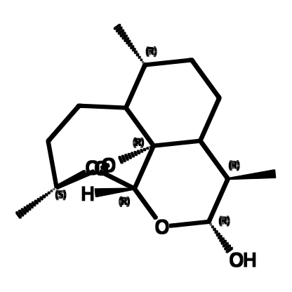 C[C@@H]1CCC2[C@@H](C)[C@H](O)O[C@@H]3O[C@]4(C)CCC1[C@@]23OO4